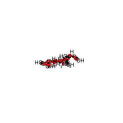 COc1cc(N=Nc2ccc(N=Nc3ccc4cc(SOOO)cc(S(=O)(=O)O)c4c3)c(C)c2)c(C)cc1N=Nc1c(SOOO)cc2cc(NCOc3ccc(O)cc3)ccc2c1O